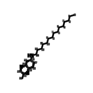 CCCCCCCCCCCCCCCNc1ccc2nc(C)cnc2c1